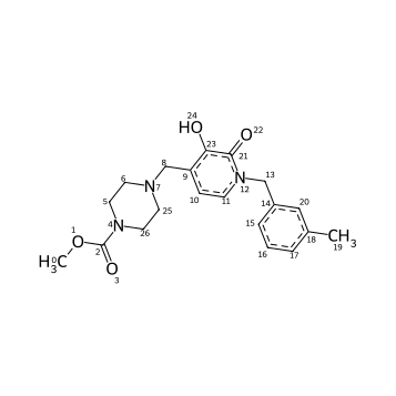 COC(=O)N1CCN(Cc2ccn(Cc3cccc(C)c3)c(=O)c2O)CC1